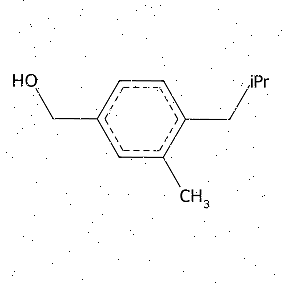 Cc1cc(CO)ccc1CC(C)C